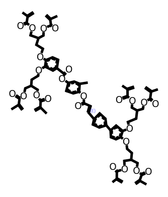 C=C(C)C(=O)OCC(CCOc1ccc(C(=O)Oc2ccc(OC(=O)/C=C/c3ccc(-c4ccc(OCCC(COC(=O)C(=C)C)COC(=O)C(=C)C)c(OCCC(COC(=O)C(=C)C)COC(=O)C(=C)C)c4)cc3)c(C)c2)cc1OCCC(COC(=O)C(=C)C)COC(=O)C(=C)C)COC(=O)C(=C)C